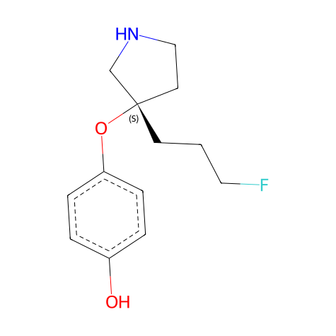 Oc1ccc(O[C@@]2(CCCF)CCNC2)cc1